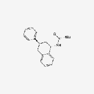 CC(C)(C)[S@@+]([O-])N[C@H]1C[C@H](c2ccccc2)Cc2ccccc21